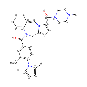 COc1cc(C(=O)N2Cc3ccc(C(=O)N4CCN(C)CC4)n3C=C3C=CCC=C32)ccc1-n1c(C)ccc1C